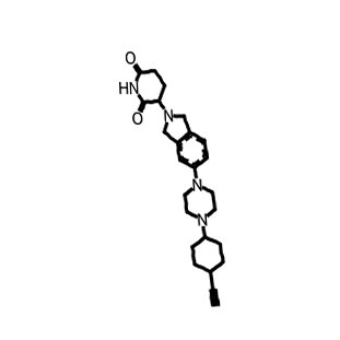 C#CC1CCC(N2CCN(c3ccc4c(c3)CN(C3CCC(=O)NC3=O)C4)CC2)CC1